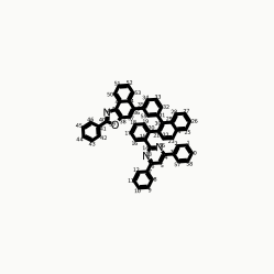 c1ccc(-c2cc(-c3ccccc3)nc(-c3ccccc3-c3ccc4ccccc4c3-c3cccc(-c4cc5oc(-c6ccccc6)nc5c5ccccc45)c3)n2)cc1